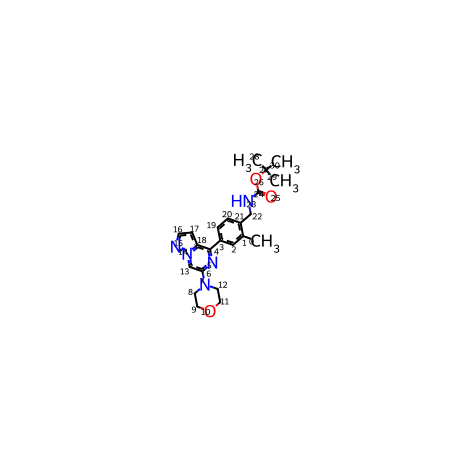 Cc1cc(-c2nc(N3CCOCC3)cn3nccc23)ccc1CNC(=O)OC(C)(C)C